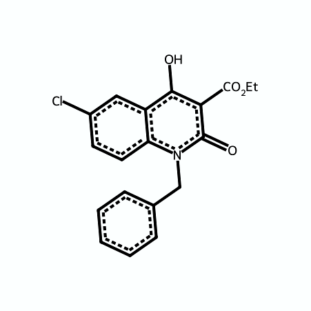 CCOC(=O)c1c(O)c2cc(Cl)ccc2n(Cc2ccccc2)c1=O